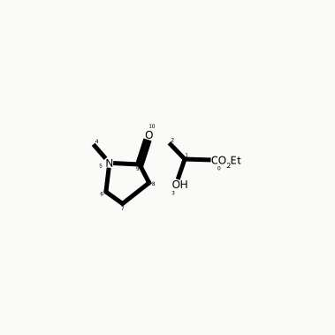 CCOC(=O)C(C)O.CN1CCCC1=O